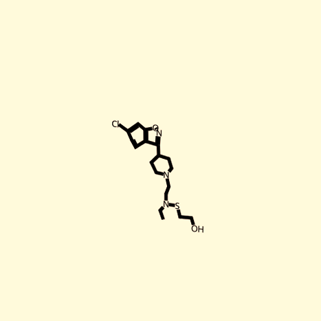 CCN(CCN1CCC(c2noc3cc(Cl)ccc23)CC1)SCCO